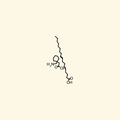 CCCCCCCCC=CCCCCCCCC(=O)O.NCC1(CC(=O)O)CCCCC1